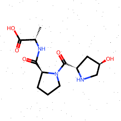 C[C@H](NC(=O)[C@@H]1CCCN1C(=O)[C@@H]1C[C@@H](O)CN1)C(=O)O